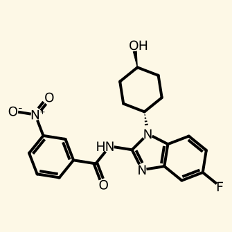 O=C(Nc1nc2cc(F)ccc2n1[C@H]1CC[C@H](O)CC1)c1cccc([N+](=O)[O-])c1